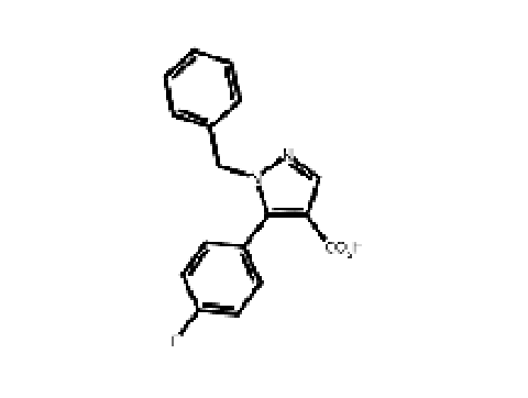 O=C(O)c1cnn(Cc2ccccc2)c1-c1ccc(F)cc1